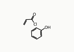 C=CC(=O)Cl.Oc1ccccc1